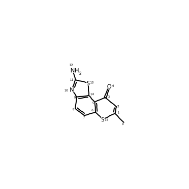 Cc1cc(=O)c2c(ccc3nc(N)sc32)s1